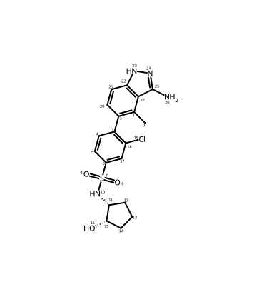 Cc1c(-c2ccc(S(=O)(=O)N[C@@H]3CCC[C@@H]3O)cc2Cl)ccc2[nH]nc(N)c12